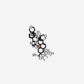 CC(C)[C@@H](C)[C@@]1(C)CC[C@]2(C)[C@H]3CC[C@@H]4[C@@]5(COC[C@@]4(C)[C@@H](OCC4(N)CCOCC4)[C@H](n4ncnc4-c4ccncc4)C5)C3=CC[C@@]2(C)[C@@H]1C(=O)O